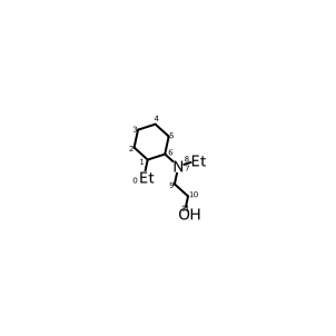 CCC1CCCCC1N(CC)CCO